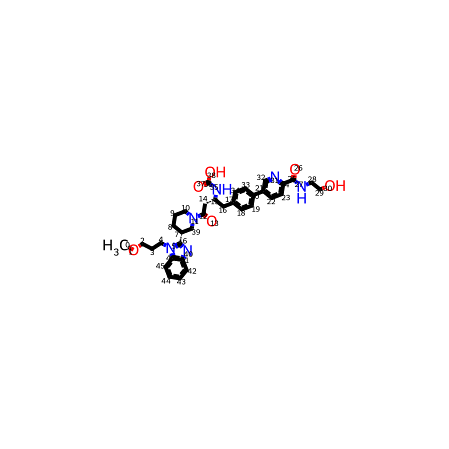 COCCCn1c([C@@H]2CCCN(C(=O)C[C@@H](Cc3ccc(-c4ccc(C(=O)NCCO)nc4)cc3)NC(=O)O)C2)nc2ccccc21